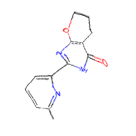 Cc1cccc(-c2nc3c(c(=O)[nH]2)CCCO3)n1